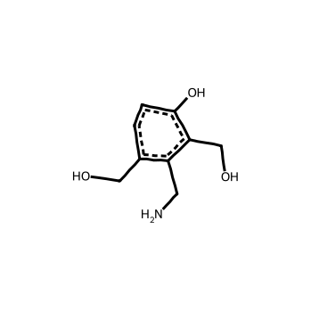 NCc1c(CO)ccc(O)c1CO